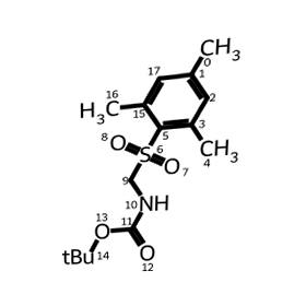 Cc1cc(C)c(S(=O)(=O)CNC(=O)OC(C)(C)C)c(C)c1